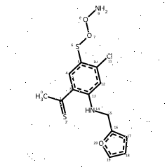 CC(=S)c1cc(SOON)c(Cl)cc1NCc1ccco1